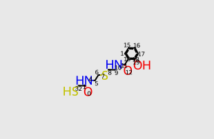 O=C(CS)NCCSCCNC(=O)c1ccccc1O